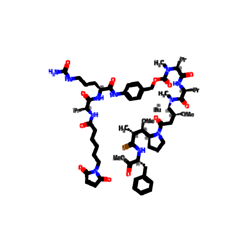 CC[C@H](C)[C@@H]([C@@H](CC(=O)N1CCC[C@H]1[C@H](OC)[C@@H](C)C(=S)N[C@H](Cc1ccccc1)C(=O)OC)OC)N(C)C(=O)[C@@H](NC(=O)[C@H](C(C)C)N(C)C(=O)OCc1ccc(NC(=O)[C@H](CCCNC(N)=O)NC(=O)[C@@H](NC(=O)CCCCCN2C(=O)C=CC2=O)C(C)C)cc1)C(C)C